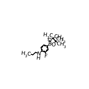 CCCNc1ccc(B2OC(C)(C)C(C)(C)O2)cc1F